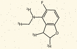 [2H]CN([2H])c1c(F)ccc2c1C([2H])C([2H])O2